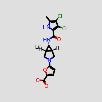 Cc1[nH]c(C(=O)N[C@@H]2[C@@H]3CN(c4ccc(C(=O)[O-])o4)C[C@@H]32)c(Cl)c1Cl.[Li+]